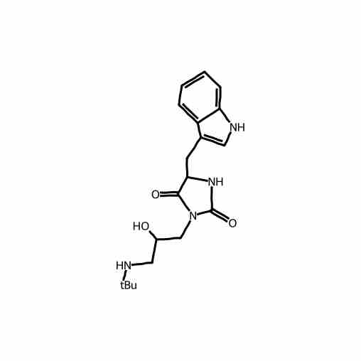 CC(C)(C)NCC(O)CN1C(=O)NC(Cc2c[nH]c3ccccc23)C1=O